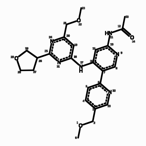 COCc1ccc(-c2cnc(NC(C)=O)cc2Nc2cc(COC)nc(C3CCOC3)n2)nc1